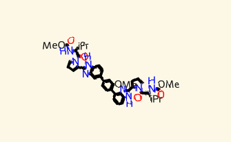 COC(=O)NC(C(=O)N1CCCC1c1nc2cc(-c3ccc(-c4cccc5[nH]c(C6CCCN6C(=O)[C@@H](NC(=O)OC)C(C)C)nc45)c(OC)c3)ccc2[nH]1)C(C)C